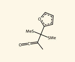 CSC(SC)(C(C)=C=O)c1ccco1